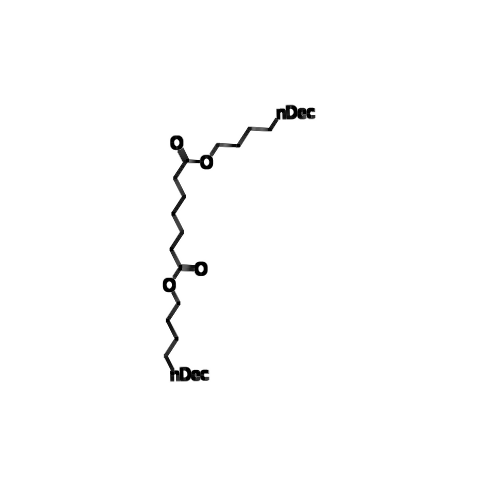 CCCCCCCCCCCCCCOC(=O)CCCCCC(=O)OCCCCCCCCCCCCCC